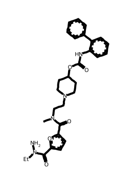 CCN(N)C(=O)c1ccc(C(=O)N(C)CCN2CCC(OC(=O)Nc3ccccc3-c3ccccc3)CC2)o1